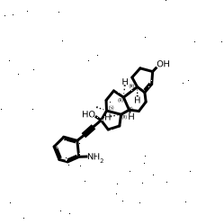 C[C@]12CC[C@@H]3[C@@H](CCC4=CC(O)CC[C@@H]43)[C@H]1CCC2(O)C#Cc1ccccc1N